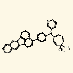 CC1(C)C=CC=C(N(c2ccc(-c3ccc4c5c(cccc35)-c3cc5ccccc5cc3-4)cc2)c2cccnc2)C=C1